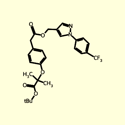 CC(C)(C)OC(=O)C(C)(C)Oc1ccc(CC(=O)OCc2cnn(-c3ccc(C(F)(F)F)cc3)c2)cc1